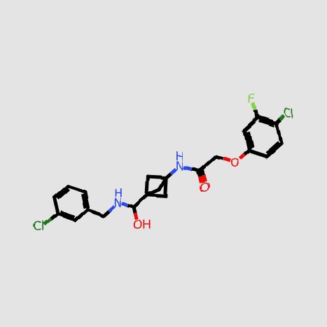 O=C(COc1ccc(Cl)c(F)c1)NC12CC(C(O)NCc3cccc(Cl)c3)(C1)C2